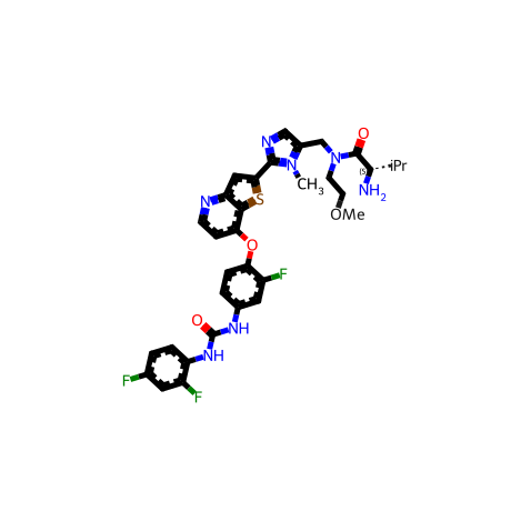 COCCN(Cc1cnc(-c2cc3nccc(Oc4ccc(NC(=O)Nc5ccc(F)cc5F)cc4F)c3s2)n1C)C(=O)[C@@H](N)C(C)C